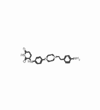 Nc1ccc(CCN2CCN(c3ccc(NC4CCC(=O)NC4=O)cc3)CC2)cc1